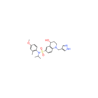 COc1ccc(N(C(C)C)S(=O)(=O)c2ccc3c(c2)C(O)CCN3Cc2cn[nH]c2)c(C)c1